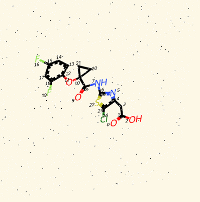 O=C(O)Cc1nc(NC(=O)C2(Oc3ccc(F)cc3F)CC2)sc1Cl